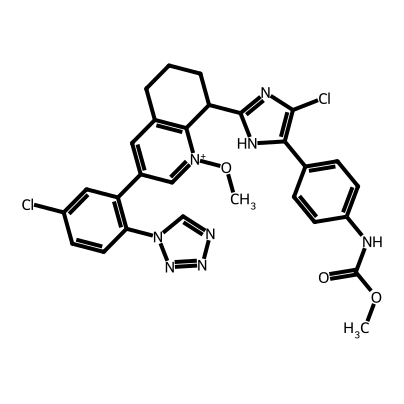 COC(=O)Nc1ccc(-c2[nH]c(C3CCCc4cc(-c5cc(Cl)ccc5-n5cnnn5)c[n+](OC)c43)nc2Cl)cc1